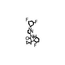 O=C(Nc1ccn(-c2cc(F)cc(F)c2)n1)C1(c2ncccc2F)CC12CC2